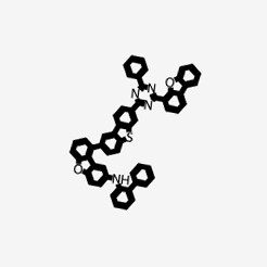 c1ccc(-c2nc(-c3ccc4c(c3)sc3ccc(-c5cccc6oc7ccc(Nc8ccccc8-c8ccccc8)cc7c56)cc34)nc(-c3cccc4c3oc3ccccc34)n2)cc1